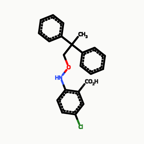 CC(CONc1ccc(Cl)cc1C(=O)O)(c1ccccc1)c1ccccc1